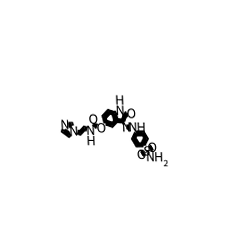 NS(=O)(=O)c1ccc(NN=C2C(=O)Nc3ccc(OC(=O)NCCn4ccnc4)cc32)cc1